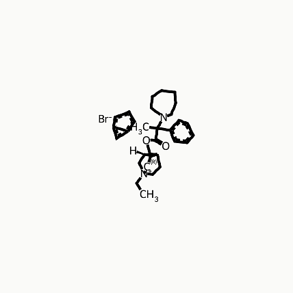 CC[N+]12CCC(CC1)[C@@H](OC(=O)C(C)(c1ccccc1)N1CCCCCC1)C2.[Br-].c1cc2cc-2c1